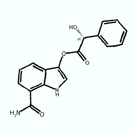 NC(=O)c1cccc2c(OC(=O)[C@H](O)c3ccccc3)c[nH]c12